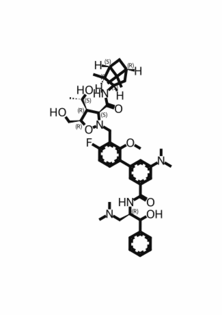 COc1c(-c2cc(C(=O)N[C@H](CN(C)C)C(O)c3ccccc3)cc(N(C)C)c2)ccc(F)c1CN1O[C@@H](CO)[C@@H]([C@H](C)O)[C@H]1C(=O)N[C@H]1C[C@H]2C[C@@H]([C@@H]1C)C2(C)C